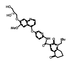 COc1cc2c(Oc3ccc(NC(=O)c4cc5c(n(CC(C)(C)C)c4=O)CCCC5=O)nc3)ccnc2cc1OC[C@H](O)CO